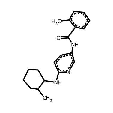 Cc1ccccc1C(=O)Nc1ccc(NC2CCCCC2C)nc1